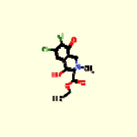 CCOC(=O)c1c(O)c2cc(Cl)c(Cl)c(=O)c-2cn1C